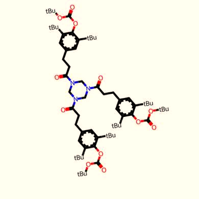 CC(C)(C)OC(=O)Oc1c(C(C)(C)C)cc(CCC(=O)N2CN(C(=O)CCc3cc(C(C)(C)C)c(OC(=O)OC(C)(C)C)c(C(C)(C)C)c3)CN(C(=O)CCc3cc(C(C)(C)C)c(OC(=O)OC(C)(C)C)c(C(C)(C)C)c3)C2)cc1C(C)(C)C